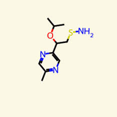 Cc1cnc(C(CSN)OC(C)C)cn1